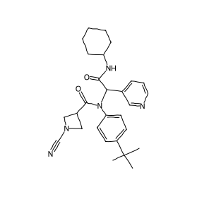 CC(C)(C)c1ccc(N(C(=O)C2CN(C#N)C2)C(C(=O)NC2CCCCC2)c2cccnc2)cc1